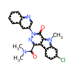 CN(C)C(=O)c1nn(-c2cnc3ccccc3c2)c(=O)c2c1c1ccc(Cl)cc1n2C